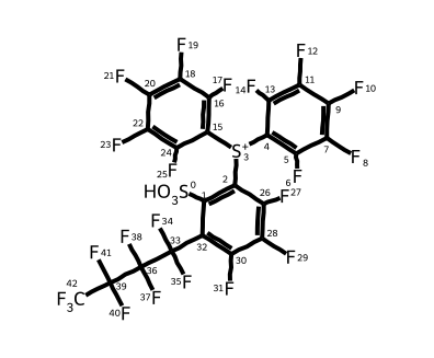 O=S(=O)(O)c1c([S+](c2c(F)c(F)c(F)c(F)c2F)c2c(F)c(F)c(F)c(F)c2F)c(F)c(F)c(F)c1C(F)(F)C(F)(F)C(F)(F)C(F)(F)F